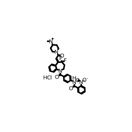 CN(C)C1CCN(C(=O)/C=C2/c3ccccc3N(C(=O)c3ccc(NC(=O)c4ccccc4[N+](=O)[O-])cc3)CCC2(F)F)CC1.Cl